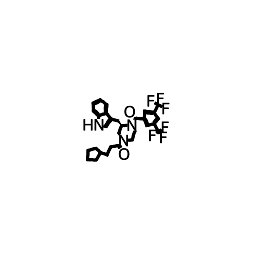 O=C(CCC1CCCC1)N1CCN(C(=O)c2cc(C(F)(F)F)cc(C(F)(F)F)c2)[C@H](Cc2c[nH]c3ccccc23)C1